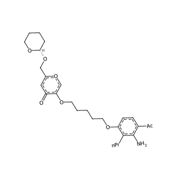 CCCc1c(OCCCCCOc2coc(CO[C@H]3CCCCO3)cc2=O)ccc(C(C)=O)c1N